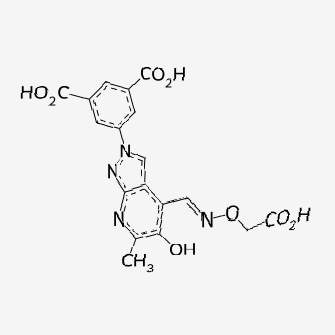 Cc1nc2nn(-c3cc(C(=O)O)cc(C(=O)O)c3)cc2c(/C=N/OCC(=O)O)c1O